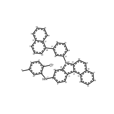 Cc1ccc(Cl)c(Nc2ccc3c4c5ccccc5ccc4n(-c4cccc(-c5cccc6ccccc56)c4)c3c2)c1